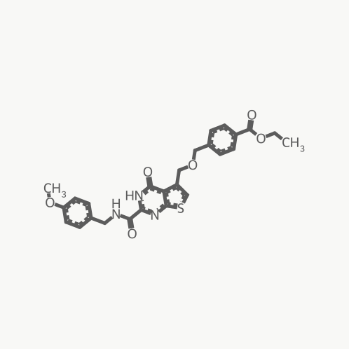 CCOC(=O)c1ccc(COCc2csc3nc(C(=O)NCc4ccc(OC)cc4)[nH]c(=O)c23)cc1